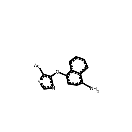 CC(=O)c1scnc1Oc1ccc(N)c2ccccc12